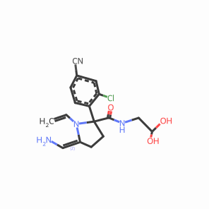 C=CN1/C(=C\N)CCC1(C(=O)NCC(O)O)c1ccc(C#N)cc1Cl